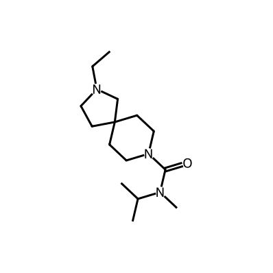 CCN1CCC2(CCN(C(=O)N(C)C(C)C)CC2)C1